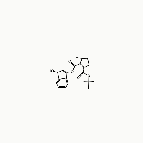 CC(C)(C)OC(=O)N1CCC(C)(C)C1C(=O)OC1=CC(O)c2ccccc21